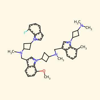 COc1cccc2c(CN(C)C3CC(n4ccc5cccc(F)c54)C3)cn(C3CC(N(C)Cc4cn(C5CC(N(C)C)C5)c5c(C)cccc45)C3)c12